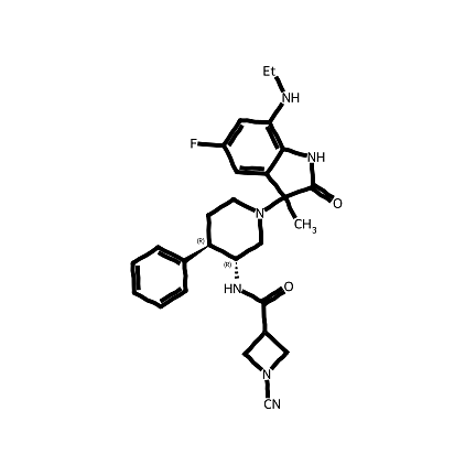 CCNc1cc(F)cc2c1NC(=O)C2(C)N1CC[C@H](c2ccccc2)[C@@H](NC(=O)C2CN(C#N)C2)C1